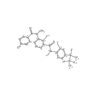 CN(C(=O)c1ccc(Cl)nc1)c1cccc(C(=O)N(I)c2ccc(C(F)(C(F)(F)F)C(F)(F)C(F)(F)F)cc2I)c1F